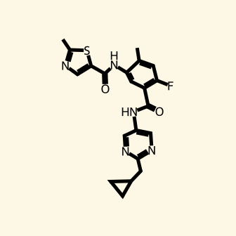 Cc1ncc(C(=O)Nc2cc(C(=O)Nc3cnc(CC4CC4)nc3)c(F)cc2C)s1